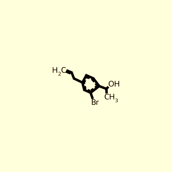 C=CCc1ccc(C(C)O)c(Br)c1